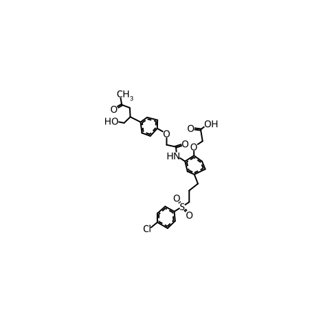 CC(=O)CC(CO)c1ccc(OCC(=O)Nc2cc(CCCS(=O)(=O)c3ccc(Cl)cc3)ccc2OCC(=O)O)cc1